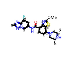 COc1nc2c(C(=O)Nc3cc(F)c4nc(C)nn4c3)ccc(N3C[C@H](C)N[C@@H](C)C3)c2s1